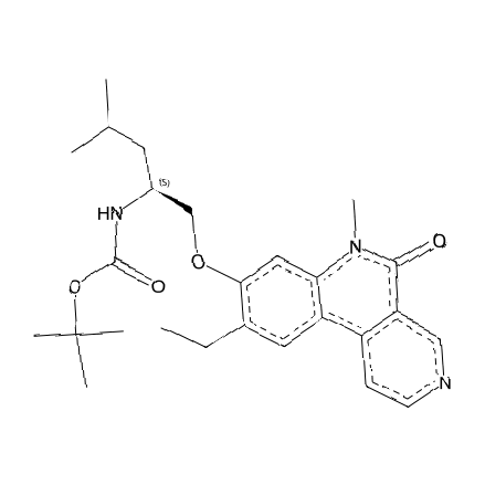 CCc1cc2c3ccncc3c(=O)n(C)c2cc1OC[C@H](CC(C)C)NC(=O)OC(C)(C)C